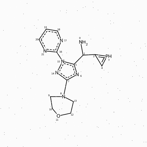 NC(C1=[PH]=C1)c1nc(N2CCOCC2)nn1-c1ncccn1